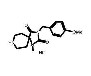 COc1ccc(CN2C(=O)N(C)C3(CCNCC3)C2=O)cc1.Cl